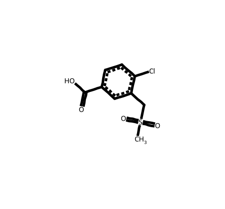 CS(=O)(=O)Cc1cc(C(=O)O)ccc1Cl